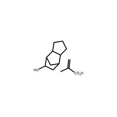 C=C(C)C(=O)O.OC1CC2CC1C1CCCC21